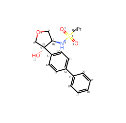 CC(C)S(=O)(=O)N[C@@H]1COC[C@]1(O)c1ccc(-c2ccccc2)cc1